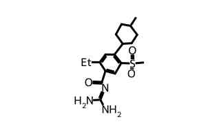 CCc1cc(C2CCC(C)CC2)c(S(C)(=O)=O)cc1C(=O)N=C(N)N